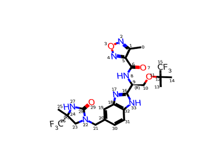 Cc1nonc1C(=O)N[C@@H](COC(C)(C)C(F)(F)F)c1nc2cc(CN3C[C@](C)(C(F)(F)F)NC3=O)ccc2[nH]1